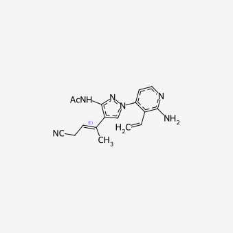 C=Cc1c(-n2cc(/C(C)=C/CC#N)c(NC(C)=O)n2)ccnc1N